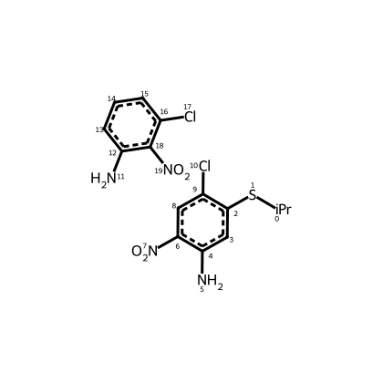 CC(C)Sc1cc(N)c([N+](=O)[O-])cc1Cl.Nc1cccc(Cl)c1[N+](=O)[O-]